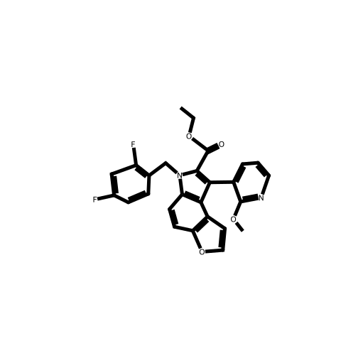 CCOC(=O)c1c(-c2cccnc2OC)c2c3ccoc3ccc2n1Cc1ccc(F)cc1F